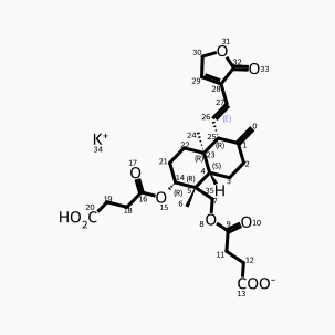 C=C1CC[C@@H]2[C@](C)(COC(=O)CCC(=O)[O-])[C@H](OC(=O)CCC(=O)O)CC[C@@]2(C)[C@@H]1/C=C/C1=CCOC1=O.[K+]